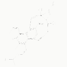 C=Cc1cc2c3c(/C=C\OC(C)C(C)C)c(C)c(C)c(/C=C\C)c3c1/C=C\C(C)(O)C(C=CCC)C(CC)C/C=C\2